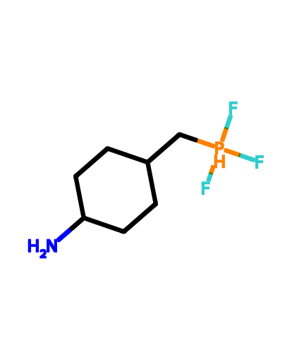 NC1CCC(C[PH](F)(F)F)CC1